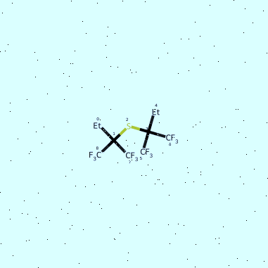 CCC(SC(CC)(C(F)(F)F)C(F)(F)F)(C(F)(F)F)C(F)(F)F